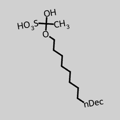 CCCCCCCCCCCCCCCCCCOC(C)(O)S(=O)(=O)O